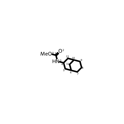 COC(=O)NC1CC2CCCC(C2)C1